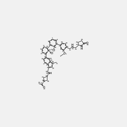 COc1cc(-c2nccc(-c3cccc(-c4ccc5c(CNC6CN(C(C)=O)C6)cn(C)c5n4)c3Cl)c2Cl)ccc1CNCC1CCC(=O)N1